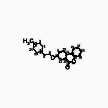 CN1CCN(CCOc2ccc3c(c2)c(=O)oc2ccccc23)CC1